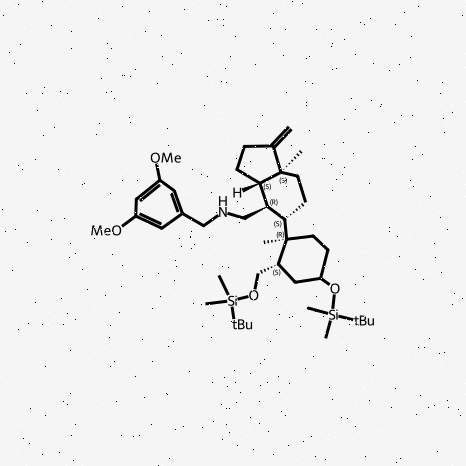 C=C1CC[C@H]2[C@H](CNCc3cc(OC)cc(OC)c3)[C@@H]([C@@]3(C)CCC(O[Si](C)(C)C(C)(C)C)C[C@@H]3CO[Si](C)(C)C(C)(C)C)CC[C@]12C